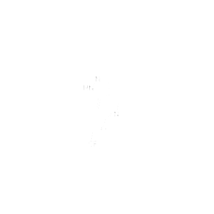 FC(F)(F)COc1cc2[nH]ncc2cn1